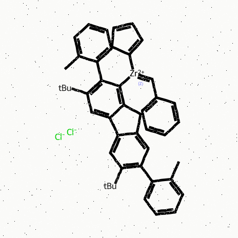 Cc1ccccc1-c1cc2c(cc1C(C)(C)C)-c1cc(C(C)(C)C)c(-c3ccccc3C)[c](/[Zr+2](=[CH]\c3ccccc3)[C]3=CC=CC3)c1C2.[Cl-].[Cl-]